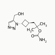 CC(C)(C[C@H]1C[C@H](n2nncc2CO)C1)OC(N)=O